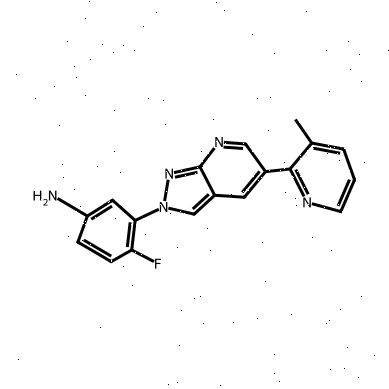 Cc1cccnc1-c1cnc2nn(-c3cc(N)ccc3F)cc2c1